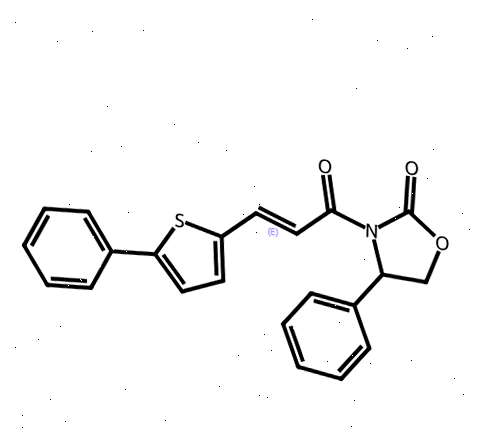 O=C(/C=C/c1ccc(-c2ccccc2)s1)N1C(=O)OCC1c1ccccc1